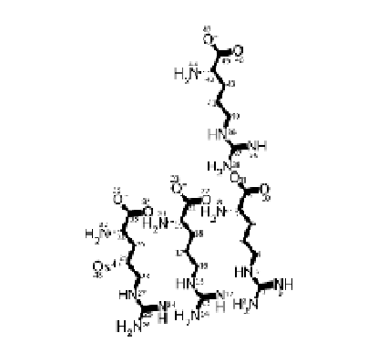 N=C(N)NCCC[C@H](N)C(=O)[O-].N=C(N)NCCC[C@H](N)C(=O)[O-].N=C(N)NCCC[C@H](N)C(=O)[O-].N=C(N)NCCC[C@H](N)C(=O)[O-].[Os+4]